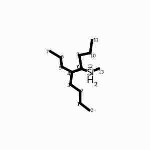 CCCCC(CCC)C(CCC)[SiH2]C